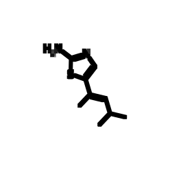 CC(=CC(C)C)c1cnc(N)s1